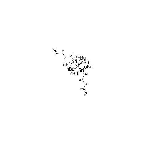 C=CCC[CH2][Sn]([CH2]CCC)([CH2]CCC)[Sn]([CH2]CCC)([CH2]CCC)[Sn]([CH2]CCC)([CH2]CCC)[CH2]CCC=C